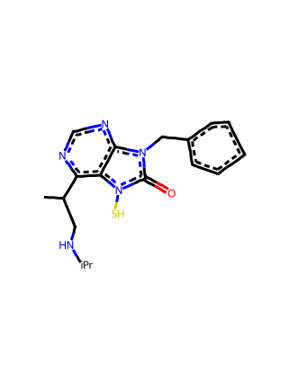 CC(C)NCC(C)c1ncnc2c1n(S)c(=O)n2Cc1ccccc1